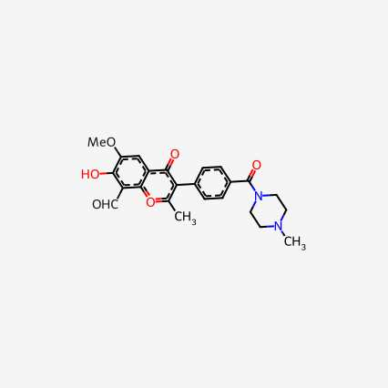 COc1cc2c(=O)c(-c3ccc(C(=O)N4CCN(C)CC4)cc3)c(C)oc2c(C=O)c1O